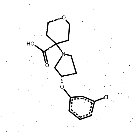 O=C(O)C1(N2CC[C@H](Oc3cccc(Cl)c3)C2)CCOCC1